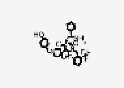 NC(Cn1c(=O)c2c(n(Cc3c(F)cccc3C(F)(F)F)c1=O)COC21CCN(Cc2ccc(O)cc2)CC1)c1ccccc1